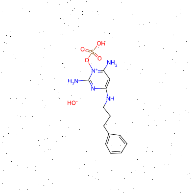 Nc1cc(NCCCc2ccccc2)nc(N)[n+]1OS(=O)(=O)O.[OH-]